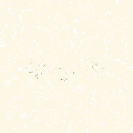 CCc1nn(CC)c2c1CCC21CCN(c2ccc(C(=O)Nc3ccccc3N)cn2)CC1